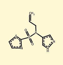 C=CCN(c1cn[nH]c1)S(=O)(=O)c1nccs1